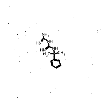 CC(C)(NC(=N)NC(=N)N)c1ccccc1